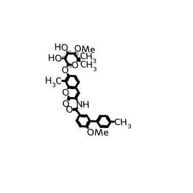 COc1ccc(C(=O)Nc2cc3ccc(O[C@@H]4OC(C)(C)[C@H](OC)[C@@H](O)[C@@H]4O)c(C)c3oc2=O)cc1-c1ccc(C)cc1